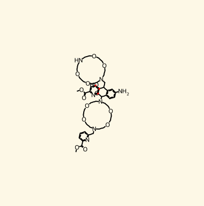 COC(=O)c1cccc(CN2CCOCCOCCN(C(c3cccc(C(=O)OC)n3)c3ccc(N)cc3C(CN3CCOCCOCCNCCOCCOCC3)C(=O)O)CCOCCOCC2)n1